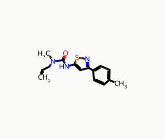 C=CCN(C)C(=O)Nc1cc(-c2ccc(C)cc2)ns1